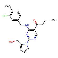 COCCC(=O)c1cnc(-n2cccc2CO)nc1NCc1ccc(OC)c(Cl)c1